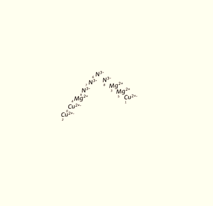 [Cu+2].[Cu+2].[Cu+2].[Mg+2].[Mg+2].[Mg+2].[N-3].[N-3].[N-3].[N-3]